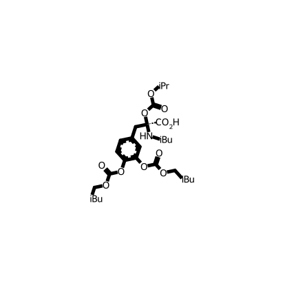 CCC(C)COC(=O)Oc1ccc(C[C@](NC(C)CC)(OC(=O)OC(C)C)C(=O)O)cc1OC(=O)OCC(C)CC